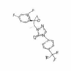 C[C@@H](n1ncn(-c2ccc(C(F)(F)F)cc2)c1=O)[C@]1(c2ccc(F)cc2F)CO1